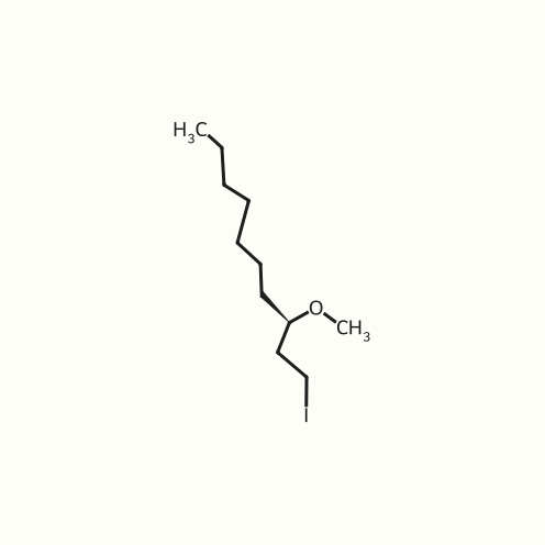 CCCCCCC[C@H](CCI)OC